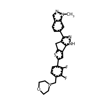 Cn1ncc2ccc(-c3n[nH]c4c3Cc3sc(-c5ccc(CN6CCOCC6)c(F)c5F)cc3-4)cc21